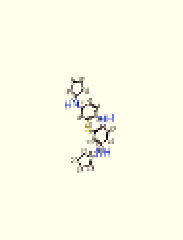 c1cc2c(cc1NC1CCCC1)Sc1cc(NC3CCCC3)ccc1N2